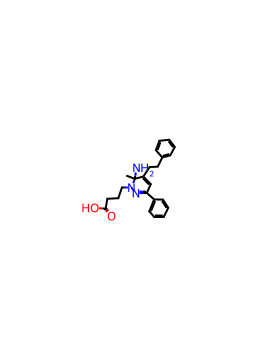 CC1(N)C(CCc2ccccc2)=CC(c2ccccc2)=NN1CCCC(=O)O